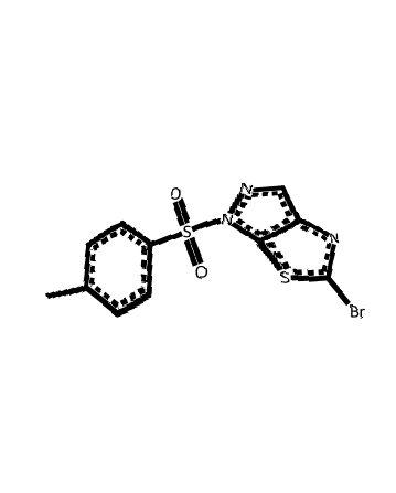 Cc1ccc(S(=O)(=O)n2ncc3nc(Br)sc32)cc1